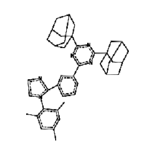 Cc1cc(C)c(-n2ccnc2-c2cccc(-c3nc(C45CC6CC(CC(C6)C4)C5)nc(C45CC6CC(CC(C6)C4)C5)n3)c2)c(C)c1